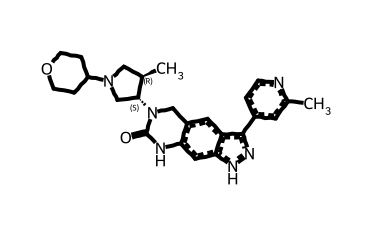 Cc1cc(-c2n[nH]c3cc4c(cc23)CN([C@@H]2CN(C3CCOCC3)C[C@H]2C)C(=O)N4)ccn1